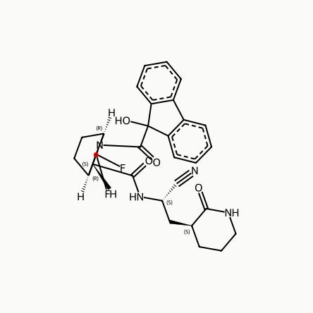 N#C[C@H](C[C@@H]1CCCNC1=O)NC(=O)[C@@H]1[C@H]2CC[C@H](CC2(F)F)N1C(=O)C1(O)c2ccccc2-c2ccccc21